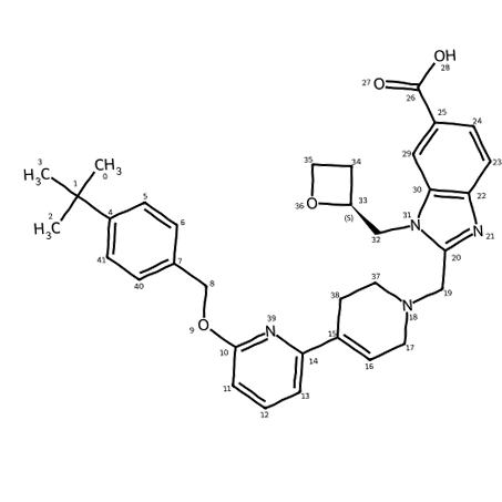 CC(C)(C)c1ccc(COc2cccc(C3=CCN(Cc4nc5ccc(C(=O)O)cc5n4C[C@@H]4CCO4)CC3)n2)cc1